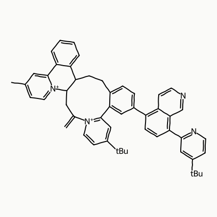 C=C1CC2C(CCc3ccc(-c4ccc(-c5cc(C(C)(C)C)ccn5)c5cnccc45)cc3-c3cc(C(C)(C)C)cc[n+]31)c1ccccc1-c1cc(C)cc[n+]12